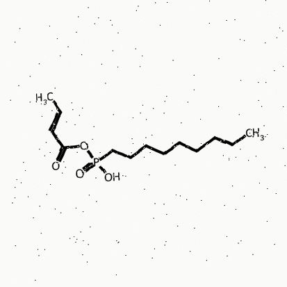 CC=CC(=O)OP(=O)(O)CCCCCCCCC